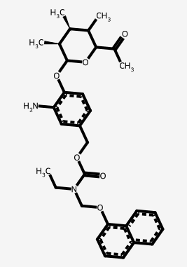 CCN(COc1cccc2ccccc12)C(=O)OCc1ccc(OC2OC(C(C)=O)C(C)[C@H](C)[C@@H]2C)c(N)c1